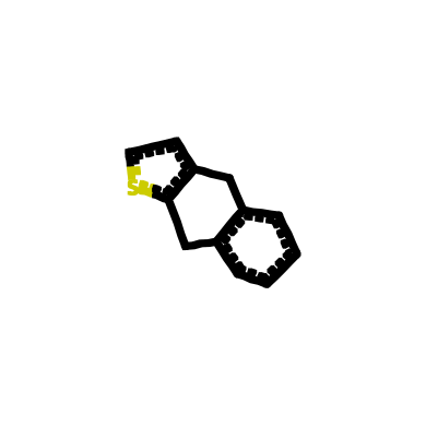 c1ccc2c(c1)Cc1ccsc1C2